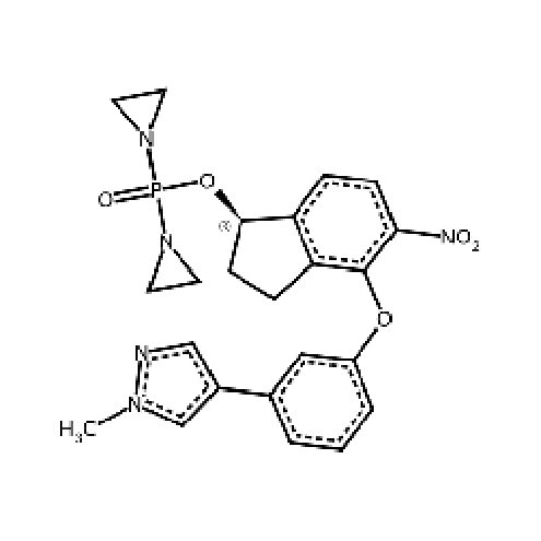 Cn1cc(-c2cccc(Oc3c([N+](=O)[O-])ccc4c3CC[C@H]4OP(=O)(N3CC3)N3CC3)c2)cn1